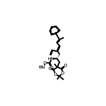 C=C/C(=C\C=C(/C)c1ccccc1)C[C@H](CC1(C)C(=O)OC(C)(C)OC1=O)NC(=O)OC(C)(C)C